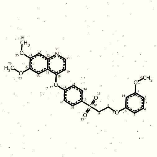 COc1cccc(OCCS(=O)(=O)c2ccc(Oc3ccnc4cc(OC)c(OC)cc34)cc2)c1